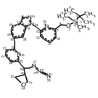 CC(C)(C)[Si](C)(C)OCc1cccc(-n2ncc3ccc(-c4cccc(C(N=[N+]=[N-])C5COC5)n4)cc32)n1